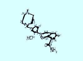 CN1CCN(Cc2ccc(-n3cc4cc(F)cc(C(N)=O)c4n3)cc2)CC1.Cl